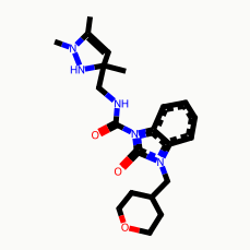 CC1=CC(C)(CNC(=O)n2c(=O)n(CC3CCOCC3)c3ccccc32)NN1C